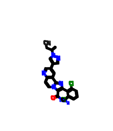 CC(CC#N)n1cc(-c2cnc3ccn4c(C(N)=O)c(-c5c(Cl)cccc5Cl)nc4c3c2)cn1